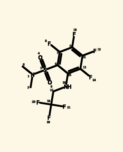 CN(C)S(=O)(=O)c1c(F)c(F)c(F)c(F)c1NCC(F)(F)F